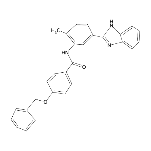 Cc1ccc(-c2nc3ccccc3[nH]2)cc1NC(=O)c1ccc(OCc2ccccc2)cc1